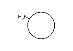 PC1CCCCCCCCCCCCCCCCC1